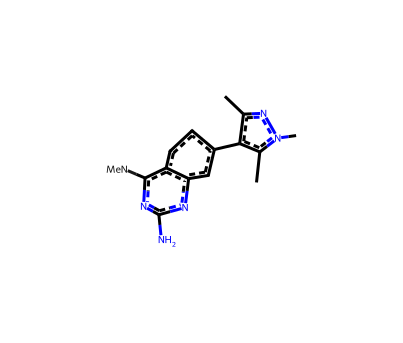 CNc1nc(N)nc2cc(-c3c(C)nn(C)c3C)ccc12